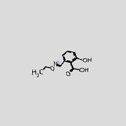 CCO/N=C/c1cccc(O)c1C(=O)O